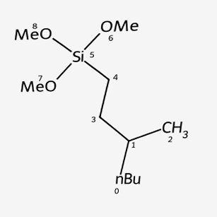 CCCCC(C)CC[Si](OC)(OC)OC